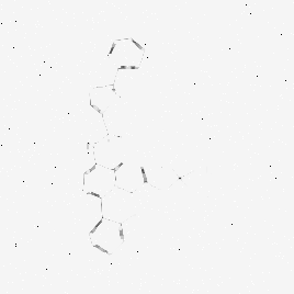 C[C@@H](Nc1cnc(-c2ccccc2F)n(CC(=O)OC(C)(C)C)c1=O)c1coc(-c2ccccc2)n1